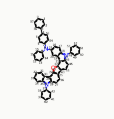 c1ccc(-c2ccc(N(c3ccccc3)c3ccc4c(c3)c3c5oc6c(ccc7c6c6ccccc6n7-c6ccccc6)c5ccc3n4-c3ccccc3)cc2)cc1